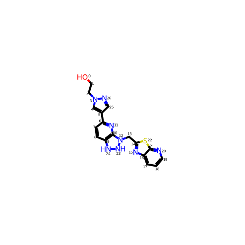 OCCn1cc(-c2ccc3c(n2)N(Cc2nc4cccnc4s2)NN3)cn1